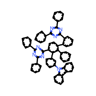 c1ccc(-c2nc(-c3ccccc3)nc(-c3ccccc3-c3ccc(-c4nc(-c5ccccc5)nc(-c5ccccc5)n4)c(-c4cccc(-n5c6ccccc6c6ccccc65)c4)c3-c3ccccc3)n2)cc1